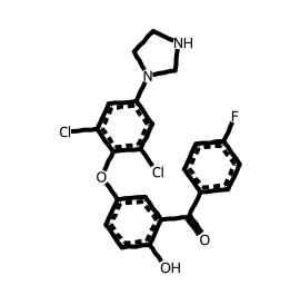 O=C(c1ccc(F)cc1)c1cc(Oc2c(Cl)cc(N3CCNC3)cc2Cl)ccc1O